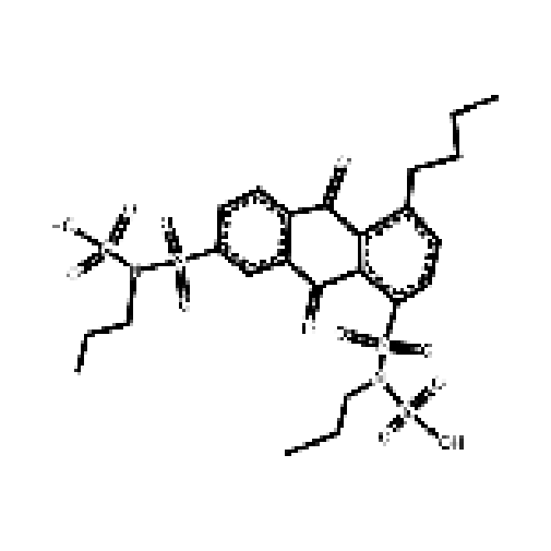 CCCCc1ccc(S(=O)(=O)N(CCC)S(=O)(=O)O)c2c1C(=O)c1ccc(S(=O)(=O)N(CCC)S(=O)(=O)O)cc1C2=O